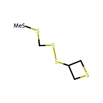 CSSCSSC1CSC1